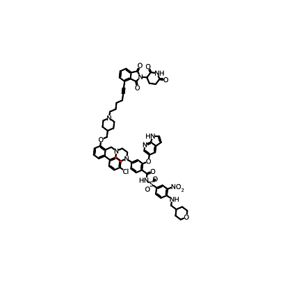 O=C1CCC(N2C(=O)c3cccc(C#CCCCCN4CCC(COc5cccc(-c6ccc(Cl)cc6)c5CN5CCN(c6ccc(C(=O)NS(=O)(=O)c7ccc(NCC8CCOCC8)c([N+](=O)[O-])c7)c(Oc7cnc8[nH]ccc8c7)c6)CC5)CC4)c3C2=O)C(=O)N1